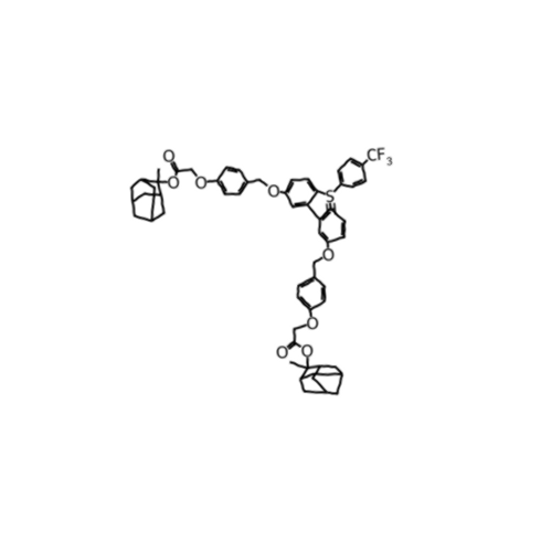 CC1(OC(=O)COc2ccc(COc3ccc4c(c3)-c3cc(OCc5ccc(OCC(=O)OC6(C)C7CC8CC(C7)CC6C8)cc5)ccc3[SH]4c3ccc(C(F)(F)F)cc3)cc2)C2CC3CC(C2)CC1C3